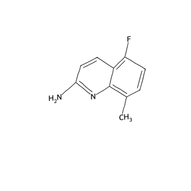 Cc1ccc(F)c2ccc(N)nc12